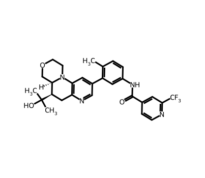 Cc1ccc(NC(=O)c2ccnc(C(F)(F)F)c2)cc1-c1cnc2c(c1)N1CCOC[C@@H]1[C@H](C(C)(C)O)C2